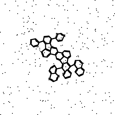 c1ccc(-c2ccc(-c3ccncn3)c3c4cc5c(cc6c7c(-c8cccc9nccnc89)c8ccccc8c(-c8cccc9ccccc89)c7c7cccc5c76)c5cccc(c23)c54)cc1